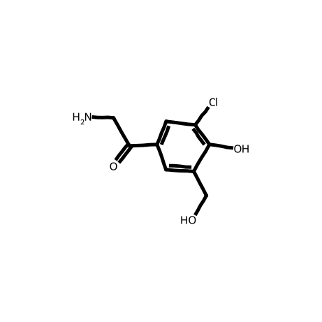 NCC(=O)c1cc(Cl)c(O)c(CO)c1